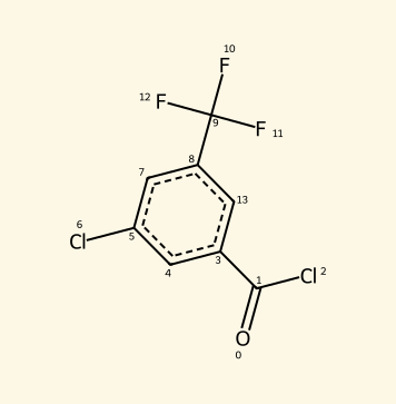 O=C(Cl)c1cc(Cl)cc(C(F)(F)F)c1